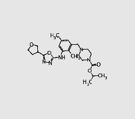 Cc1cc(CN2CCN(C(=O)OC(C)C)CC2)c(C)c(Nc2nnc(C3CCOC3)o2)c1